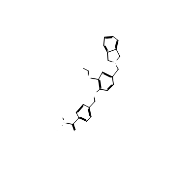 CCOc1cc(CN2Cc3ccccc3C2)ccc1OCc1ccc(C(=O)N(C)C)cc1